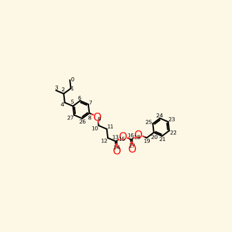 CCC(C)Cc1ccc(OCCCC(=O)OC(=O)OCc2ccccc2)cc1